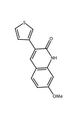 COc1ccc2cc(-c3ccsc3)c(=O)[nH]c2c1